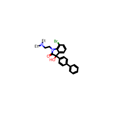 CCN(CC)CCN1C(=O)C(O)(c2ccc(-c3ccccc3)cc2)c2cccc(Br)c21